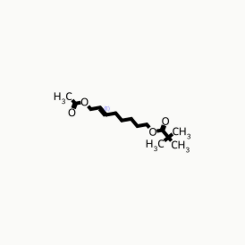 CC(=O)OC/C=C/CCCCCOC(=O)C(C)(C)C